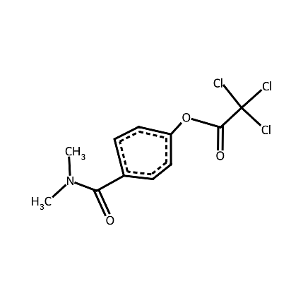 CN(C)C(=O)c1ccc(OC(=O)C(Cl)(Cl)Cl)cc1